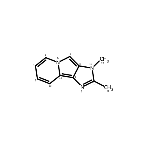 Cc1nc2c(cn3ccccc23)n1C